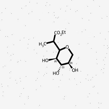 CCOC(=O)C(C)C1OC[C@@H](O)[C@H](O)[C@H]1O